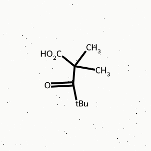 CC(C)(C)C(=O)C(C)(C)C(=O)O